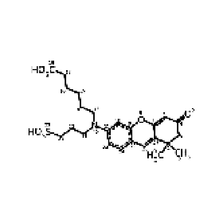 CC1(C)CC(=O)C=C2Oc3cc(N(CCCCCC(=O)O)CCCS(=O)(=O)O)ccc3C=C21